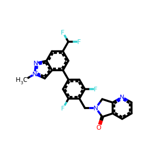 Cn1cc2c(-c3cc(F)c(CN4Cc5ncccc5C4=O)c(F)c3)cc(C(F)F)cc2n1